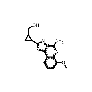 COc1cccc2c1nc(N)n1nc(C3CC3CO)nc21